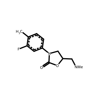 CNCC1CN(c2ccc(C)c(F)c2)C(=O)O1